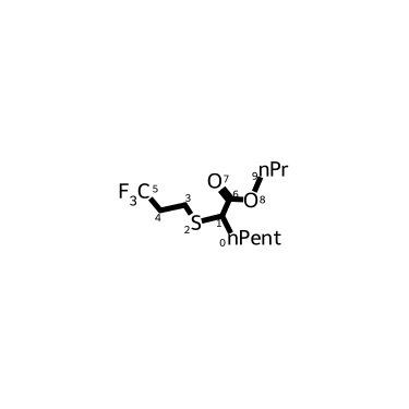 CCCCCC(SCCC(F)(F)F)C(=O)OCCC